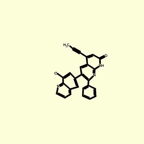 CC#Cc1cc(=O)[nH]c2nc(-c3ccccc3)c(-c3cc(Cl)c4ncccc4c3)cc12